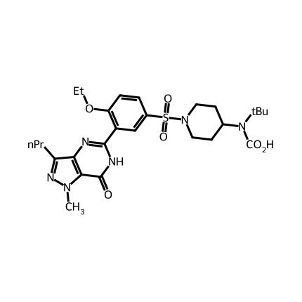 CCCc1nn(C)c2c(=O)[nH]c(-c3cc(S(=O)(=O)N4CCC(N(C(=O)O)C(C)(C)C)CC4)ccc3OCC)nc12